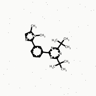 Cc1cnc(-c2cccc(-c3nc(C(C)(C)C)nc(C(C)(C)C)n3)c2)n1C